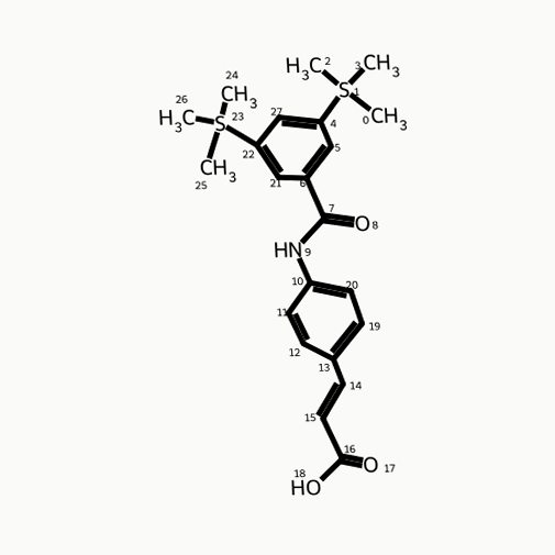 CS(C)(C)c1cc(C(=O)Nc2ccc(/C=C/C(=O)O)cc2)cc(S(C)(C)C)c1